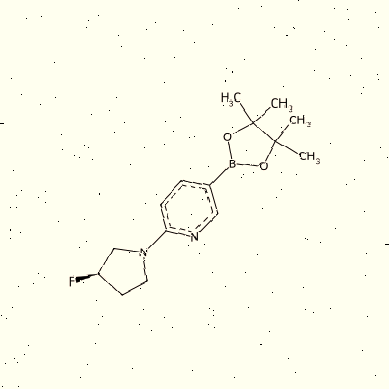 CC1(C)OB(c2ccc(N3CC[C@@H](F)C3)nc2)OC1(C)C